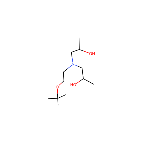 CC(O)CN(CCOC(C)(C)C)CC(C)O